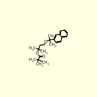 CC(C)(CCOC(C)(C)c1ccc2ccccc2c1)OC(=O)C(C)(C)C